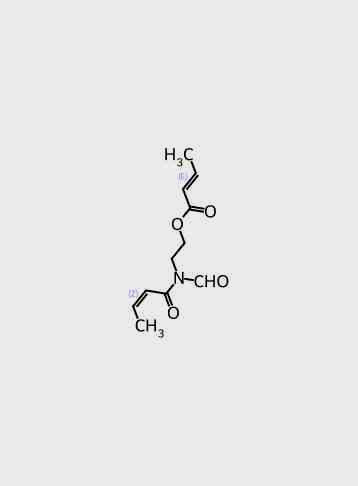 C/C=C\C(=O)N(C=O)CCOC(=O)/C=C/C